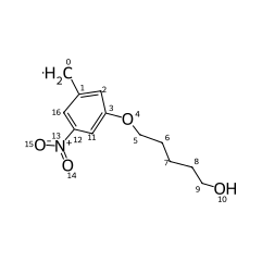 [CH2]c1cc(OCCCCCO)cc([N+](=O)[O-])c1